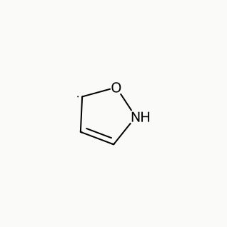 [CH]1C=CNO1